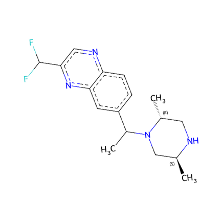 CC(c1ccc2ncc(C(F)F)nc2c1)N1C[C@H](C)NC[C@H]1C